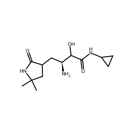 CC1(C)CC(C[C@H](N)C(O)C(=O)NC2CC2)C(=O)N1